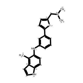 Cc1c(Nc2cccc(-c3ccc(CN(C)C)s3)c2)ccc2[nH]ccc12